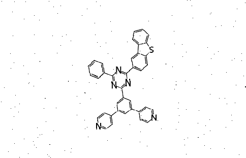 c1ccc(-c2nc(-c3cc(-c4ccncc4)cc(-c4ccncc4)c3)nc(-c3ccc4sc5ccccc5c4c3)n2)cc1